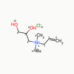 C=CC[N+](C)(CCCC)CC(O)CO.[Cl-]